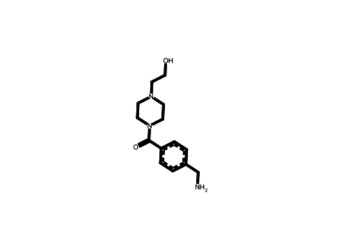 NCc1ccc(C(=O)N2CCN(CCO)CC2)cc1